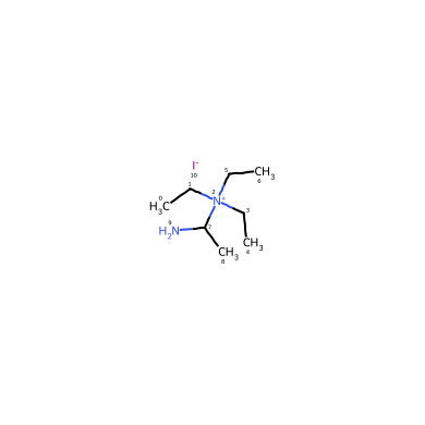 CC[N+](CC)(CC)C(C)N.[I-]